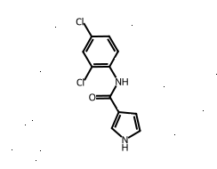 O=C(Nc1ccc(Cl)cc1Cl)c1cc[nH]c1